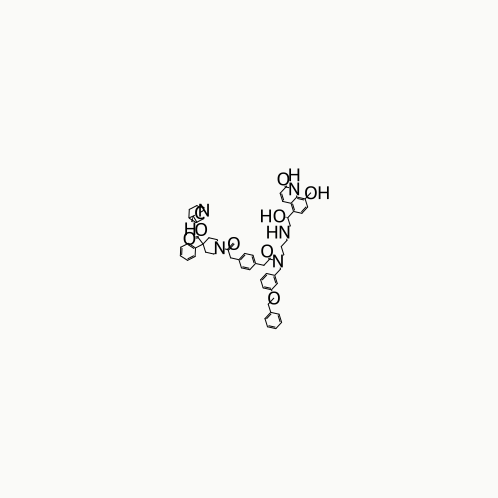 O=C(Cc1ccc(CC(=O)N(CCCNC[C@H](O)c2ccc(O)c3[nH]c(=O)ccc23)Cc2cccc(OCc3ccccc3)c2)cc1)N1CCC(C(=O)O[C@H]2CN3CCC2CC3)(c2ccccc2)CC1